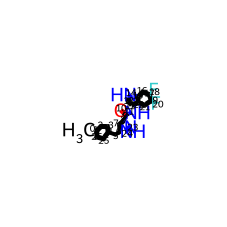 Cc1ccc(Cc2cc(C(=O)Nc3c[nH]c4cc(F)c(F)cc34)n[nH]2)cc1